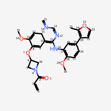 C=CC(=O)N1CC(OC2=C/C(=C(/N=C\N=C)Nc3cc(-c4ccoc4C)ccc3OC)CC=C2OC)C1